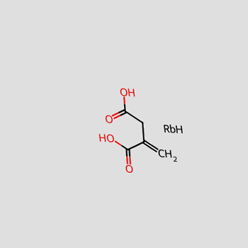 C=C(CC(=O)O)C(=O)O.[RbH]